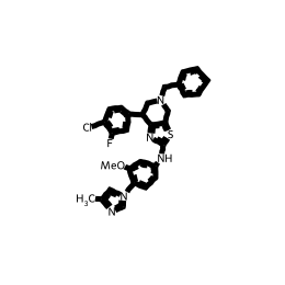 COc1cc(Nc2nc3c(s2)CN(Cc2ccccc2)CC3c2ccc(Cl)c(F)c2)ccc1-n1cnc(C)c1